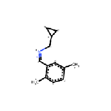 Cc1ccc(C)c(/C=N\CC2CC2)c1